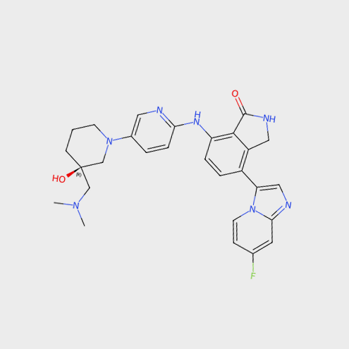 CN(C)C[C@]1(O)CCCN(c2ccc(Nc3ccc(-c4cnc5cc(F)ccn45)c4c3C(=O)NC4)nc2)C1